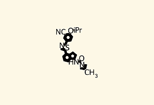 CC1CN(C(=O)N[C@@H]2CCc3c(-c4cnc(-c5ccc(OC(C)C)c(C#N)c5)s4)cccc32)C1